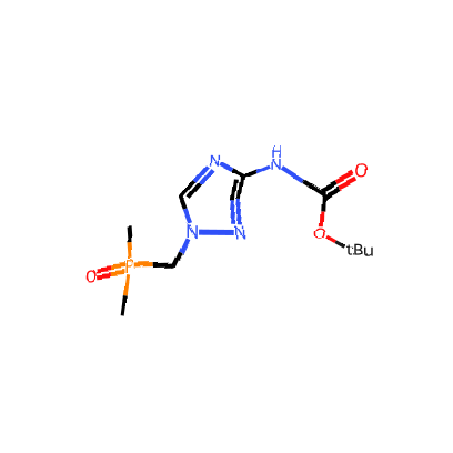 CC(C)(C)OC(=O)Nc1ncn(CP(C)(C)=O)n1